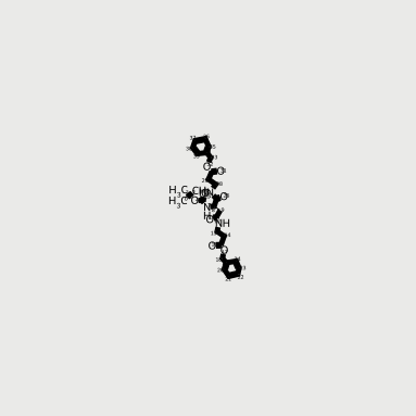 CC(C)(C)OC(=O)N[C@@H](CC(=O)NCCC(=O)OCc1ccccc1)C(=O)NCCC(=O)OCc1ccccc1